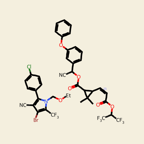 CC1(C)C(/C=C\C(=O)OC(C(F)(F)F)C(F)(F)F)C1C(=O)OC(C#N)c1cccc(Oc2ccccc2)c1.CCOCn1c(-c2ccc(Cl)cc2)c(C#N)c(Br)c1C(F)(F)F